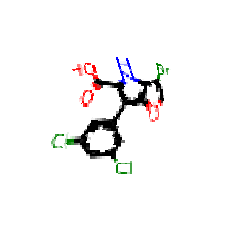 O=C(O)c1[nH]c2c(Br)coc2c1-c1cc(Cl)cc(Cl)c1